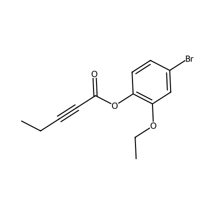 CCC#CC(=O)Oc1ccc(Br)cc1OCC